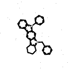 c1ccc(Cn2c3c(c4cc5c6ccccc6n(-c6ccccc6)c5cc42)CCCC3)cc1